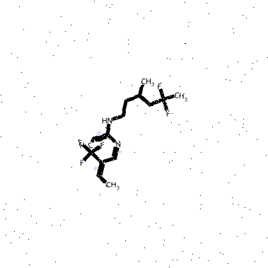 C\C=C(/N=C\C(=C/C)C(F)(F)F)NCCC(C)CC(C)(F)F